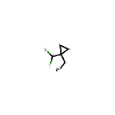 CC(C)CC1(C(F)F)CC1